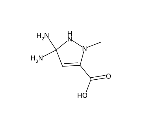 CN1NC(N)(N)C=C1C(=O)O